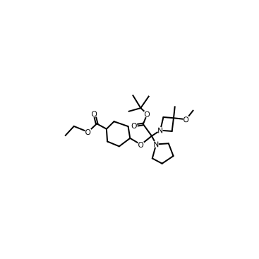 CCOC(=O)C1CCC(OC(C(=O)OC(C)(C)C)(N2CCCC2)N2CC(C)(OC)C2)CC1